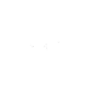 C#CCOc1cc(C(C(=O)OC)C(C)C)on1